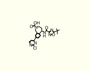 CC(C)(C)c1nc(C(=O)NC2CCN(C(=O)O)Cc3cc(-c4ccnc(Cl)n4)ccc32)no1